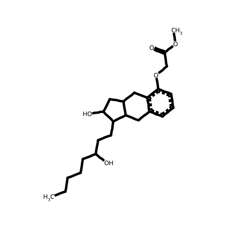 CCCCCC(O)CCC1C(O)CC2Cc3c(cccc3OCC(=O)OC)CC21